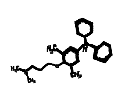 Cc1cc([SH](c2ccccc2)c2ccccc2)cc(C)c1OCCCN(C)C